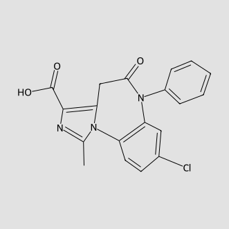 Cc1nc(C(=O)O)c2n1-c1ccc(Cl)cc1N(c1ccccc1)C(=O)C2